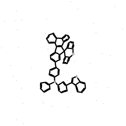 c1ccc(N(c2ccc(-c3ccc4c(c3)C3(c5ccccc5Oc5ccccc53)c3c-4c4ccccc4c4ccccc34)cc2)c2cccc(-c3csc4ccccc34)c2)cc1